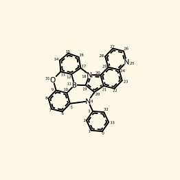 c1ccc(N2c3cccc4c3B3c5c(cccc5-n5c3c2c2ccc3ncccc3c25)O4)cc1